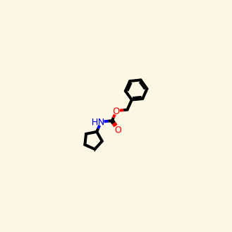 O=C(NC1C[CH]CC1)OCc1ccccc1